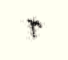 CC(=O)CNC(=O)CNC(=O)CNC(=O)CNC(=O)C1CCCN1C(=O)C(CCCNC(=N)N)NC(=O)C1CCCN1C(=O)C(N)Cc1ccccc1